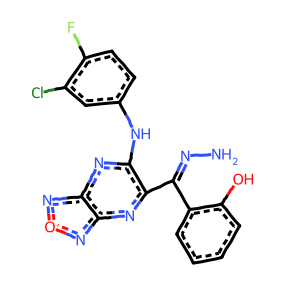 NN=C(c1ccccc1O)c1nc2nonc2nc1Nc1ccc(F)c(Cl)c1